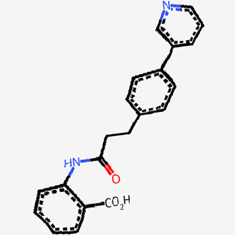 O=C(CCc1ccc(-c2cccnc2)cc1)Nc1ccccc1C(=O)O